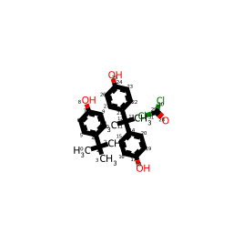 CC(C)(C)c1ccc(O)cc1.CC(C)(c1ccc(O)cc1)c1ccc(O)cc1.O=C(Cl)Cl